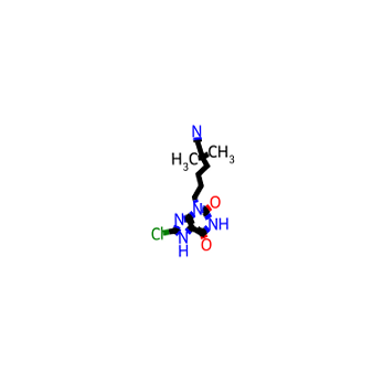 CC(C)(C#N)CCCCn1c(=O)[nH]c(=O)c2[nH]c(Cl)nc21